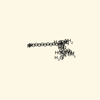 CC[C@@]1(O)C(=O)OCc2c1cc1n(c2=O)Cc2c-1nc1cc(F)c(C)c3c1c2[C@@H](N(Cc1ccc(NC(=O)[C@H](CCCNC(N)=O)NC(=O)[C@@H](NC(=O)CCOCCOCCOCCOCCOCCOCCOCCOCCOCCN=[N+]=[N-])C(C)C)cc1)C(=O)O)CC3